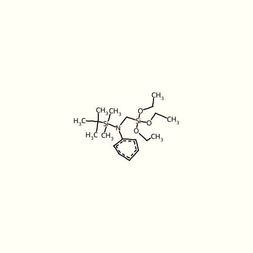 CCO[Si](CN(c1ccccc1)[Si](C)(C)C(C)(C)C)(OCC)OCC